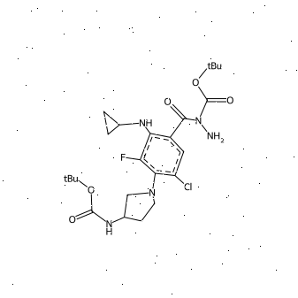 CC(C)(C)OC(=O)NC1CCN(c2c(Cl)cc(C(=O)N(N)C(=O)OC(C)(C)C)c(NC3CC3)c2F)C1